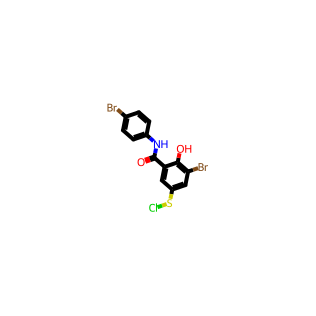 O=C(Nc1ccc(Br)cc1)c1cc(SCl)cc(Br)c1O